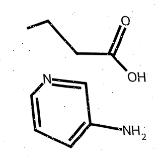 CCCC(=O)O.Nc1cccnc1